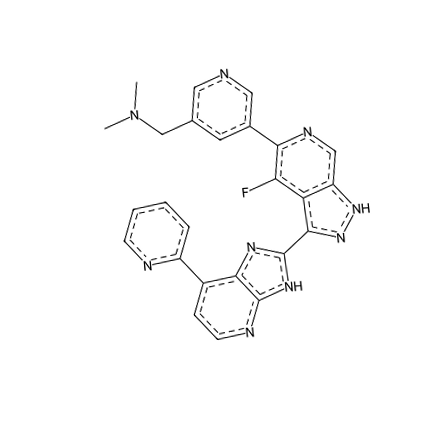 CN(C)Cc1cncc(-c2ncc3[nH]nc(-c4nc5c(-c6ccccn6)ccnc5[nH]4)c3c2F)c1